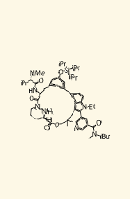 CCC(C)N(C)C(=O)c1cncc(-c2c3c4cc(ccc4n2CC)-c2cc(cc(O[Si](C(C)C)(C(C)C)C(C)C)c2)C[C@H](NC(=O)[C@@H](NC)C(C)C)C(=O)N2CCC[C@H](N2)C(=O)OCC(C)(C)C3)c1